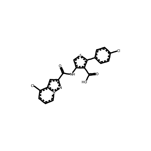 O=C(Nc1csc(-c2ccc(Cl)cc2)c1C(=O)O)c1cc2c(Cl)cccn2n1